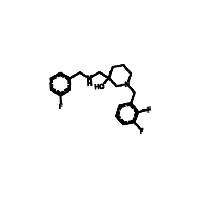 OC1(CNCc2cccc(F)c2)CCCN(Cc2cccc(F)c2F)C1